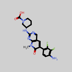 Cn1c(=O)c(-c2ccc(N)c(F)c2F)cc2cnc(N[C@H]3CCCN(C(=O)O)C3)nc21